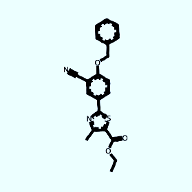 CCOC(=O)c1sc(-c2ccc(OCc3ccccc3)c(C#N)c2)nc1C